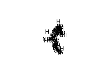 CC(C)(C)[Si](C)(C)O[C@]1(n2cc(F)c3c(=O)[nH]cnc32)O[C@@H](COP(=S)(OCCC#N)O[C@H]2[C@@H](F)[C@H](n3cnc4c(NC(=O)c5ccccc5)ncnc43)O[C@@H]2CO)C[C@H]1O[PH](=O)O